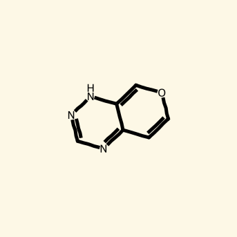 C1=CC2=NC=NNC2=CO1